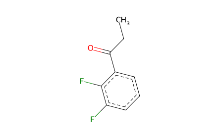 CCC(=O)c1cccc(F)c1F